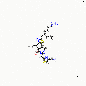 CCC/C(=C\CCCN)Cc1nc2c(s1)-c1cnn(Cc3nc(C#N)cs3)c(=O)c1C2C